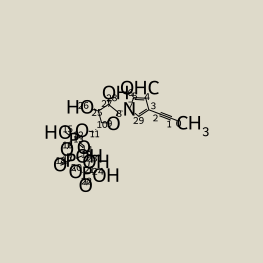 CC#Cc1cc(C=O)n([C@@H]2O[C@H](COP(=O)(O)OP(=O)(O)OP(=O)(O)O)[C@@H](O)[C@H]2O)c1